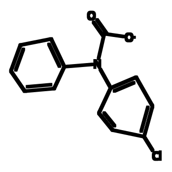 [O]C(=O)N(c1ccccc1)c1ccc(Cl)cc1